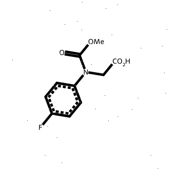 COC(=O)N(CC(=O)O)c1ccc(F)cc1